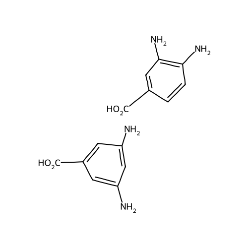 Nc1cc(N)cc(C(=O)O)c1.Nc1ccc(C(=O)O)cc1N